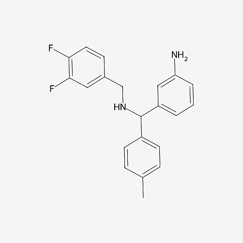 Cc1ccc(C(NCc2ccc(F)c(F)c2)c2cccc(N)c2)cc1